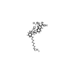 CCCCCCCCCc1ccccc1C[C@@](O)(CCCl)Sc1ccc2cc(C(=O)O)c(OC)nc2c1